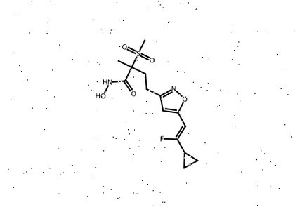 CC(CCc1cc(C=C(F)C2CC2)on1)(C(=O)NO)S(C)(=O)=O